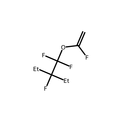 C=C(F)OC(F)(F)C(F)(CC)CC